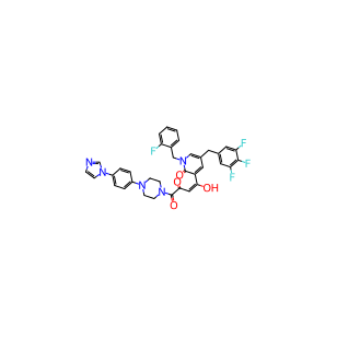 O=C(/C=C(/O)c1cc(Cc2cc(F)c(F)c(F)c2)cn(Cc2ccccc2F)c1=O)C(=O)N1CCN(c2ccc(-n3ccnc3)cc2)CC1